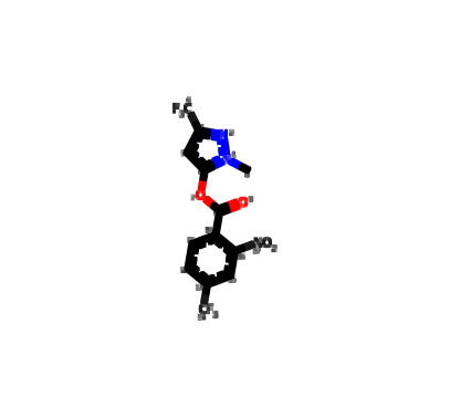 Cn1nc(C(F)(F)F)cc1OC(=O)c1ccc(C(F)(F)F)cc1[N+](=O)[O-]